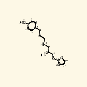 Oc1ccc(CCCNCC(O)COc2nccs2)cc1